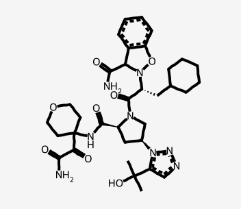 CC(C)(O)c1cnnn1[C@H]1C[C@@H](C(=O)NC2(C(=O)C(N)=O)CCOCC2)N(C(=O)[C@@H](CC2CCCCC2)N2Oc3ccccc3C2C(N)=O)C1